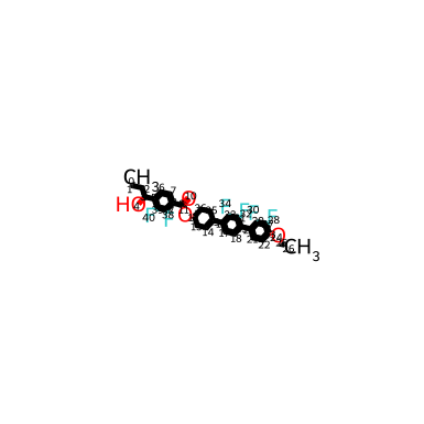 CCCC(O)c1ccc(C(=O)OC2CC=C(c3ccc(-c4ccc(OCC)c(F)c4F)c(F)c3F)CC2)c(F)c1F